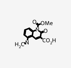 C=Nc1cccc2c1cc(C(=O)O)c(=O)n2C(=O)OC